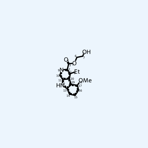 CCc1c(C(=O)OCCO)ncc2[nH]c3cccc(OC)c3c12